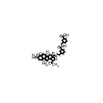 C=C(C)C1CCC2(C(=O)NCCc3cccc(C(=O)NCc4cccc(C(=O)O)c4)c3)CC[C@]3(C)C(CCC4C5(C)CCC(O)C(C)(C)C5CCC43C)C12